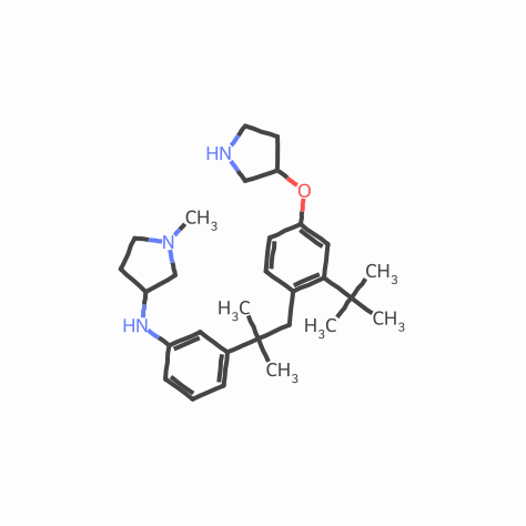 CN1CCC(Nc2cccc(C(C)(C)Cc3ccc(OC4CCNC4)cc3C(C)(C)C)c2)C1